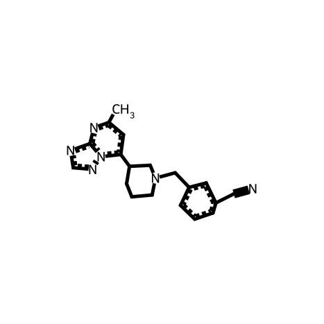 Cc1cc(C2CCCN(Cc3cccc(C#N)c3)C2)n2ncnc2n1